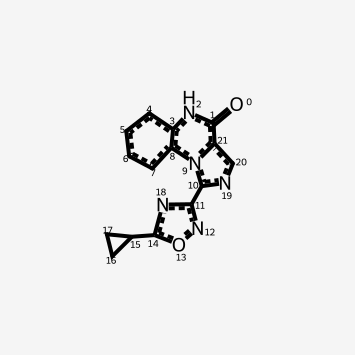 O=c1[nH]c2ccccc2n2c(-c3noc(C4CC4)n3)ncc12